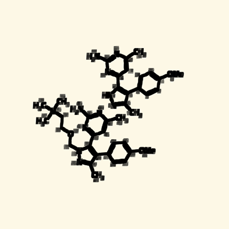 COc1ccc(-c2c(C)n[nH]c2-c2cc(C)nc(N)n2)cc1.COc1ccc(-c2c(C)nn(COCC[Si](C)(C)C)c2-c2cc(C)nc(N)n2)cc1